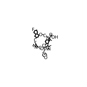 Cc1c(C(=O)O)n2c3ccc(Cl)c(c13)-c1c(nn(C)c1C)C(CCN1CCOCC1)OCc1cc(n(C)n1)CCc1cc(c3ccc(F)cc3c1)OCCC2